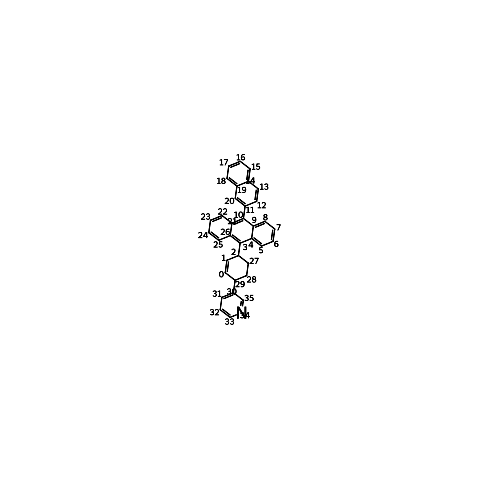 C1=CC(c2c3ccccc3c(-c3ccc4ccccc4c3)c3ccccc23)CCC1c1cccnc1